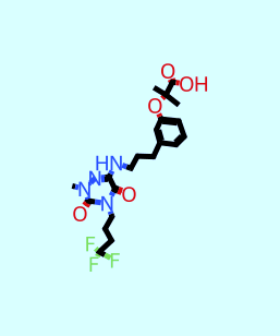 Cn1nc(NCCCc2cccc(OC(C)(C)C(=O)O)c2)c(=O)n(CCCC(F)(F)F)c1=O